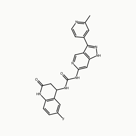 Cc1cc(-c2n[nH]c3cc(NC(=O)NC4CC(=O)Nc5ccc(F)cc54)ncc23)ccn1